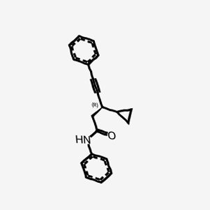 O=C(C[C@@H](C#Cc1ccccc1)C1CC1)Nc1ccccc1